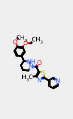 CCOc1cc(C2CCCN(C(=O)c3sc(-c4cccnc4)nc3C)N2)ccc1OC